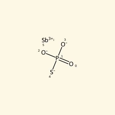 O=P([O-])([O-])[S-].[Sb+3]